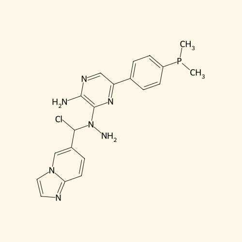 CP(C)c1ccc(-c2cnc(N)c(N(N)C(Cl)c3ccc4nccn4c3)n2)cc1